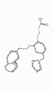 O=C(O)CCCc1ccc(Cn2cccn2)cc1OCCc1ccc2ccccc2c1